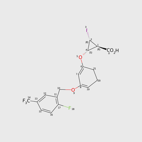 O=C(O)[C@@H]1[C@@H](I)[C@H]1OC1=CC(OCc2cc(C(F)(F)F)ccc2F)=CCC1